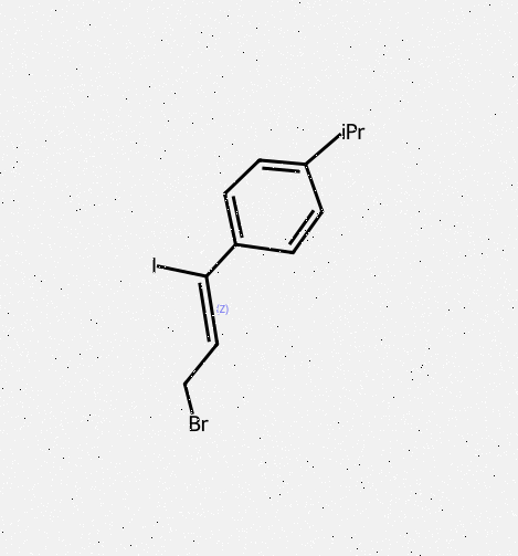 CC(C)c1ccc(/C(I)=C/CBr)cc1